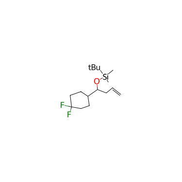 C=CCC(O[Si](C)(C)C(C)(C)C)C1CCC(F)(F)CC1